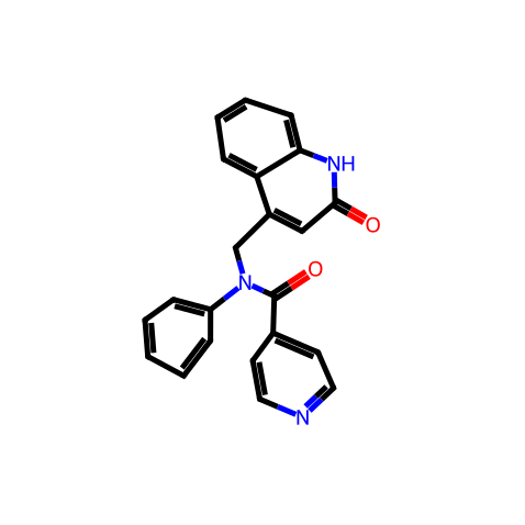 O=C(c1ccncc1)N(Cc1cc(=O)[nH]c2ccccc12)c1ccccc1